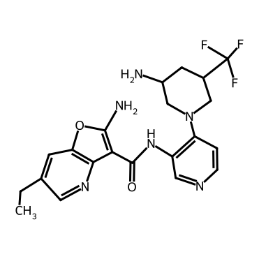 CCc1cnc2c(C(=O)Nc3cnccc3N3CC(N)CC(C(F)(F)F)C3)c(N)oc2c1